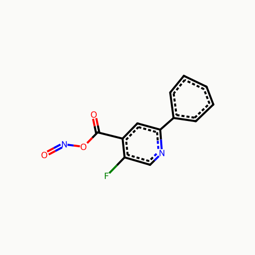 O=NOC(=O)c1cc(-c2ccccc2)ncc1F